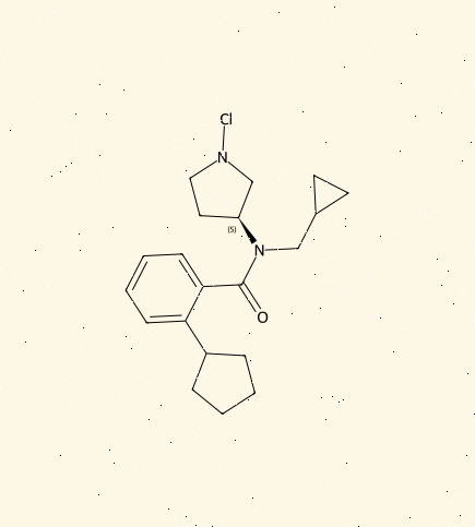 O=C(c1ccccc1C1CCCC1)N(CC1CC1)[C@H]1CCN(Cl)C1